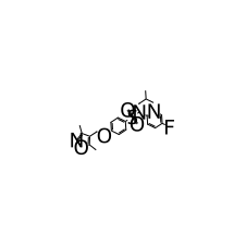 Cc1noc(C)c1COc1ccc(S(=O)(=O)N(CC(C)C)c2ccc(F)cn2)cc1